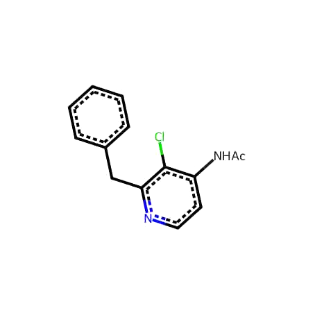 CC(=O)Nc1ccnc(Cc2ccccc2)c1Cl